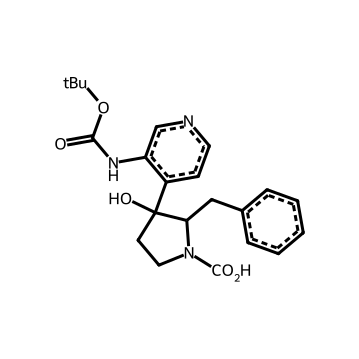 CC(C)(C)OC(=O)Nc1cnccc1C1(O)CCN(C(=O)O)C1Cc1ccccc1